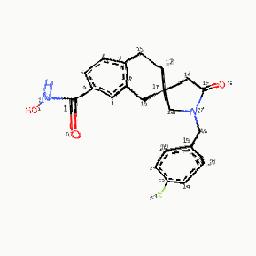 O=C(NO)c1ccc2c(c1)C[C@@]1(CC2)CC(=O)N(Cc2ccc(F)cc2)C1